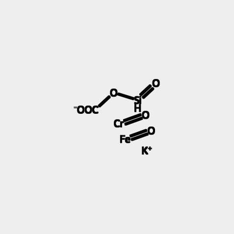 O=[SiH]OC(=O)[O-].[K+].[O]=[Cr].[O]=[Fe]